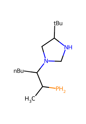 CCCCC(C(C)P)N1CNC(C(C)(C)C)C1